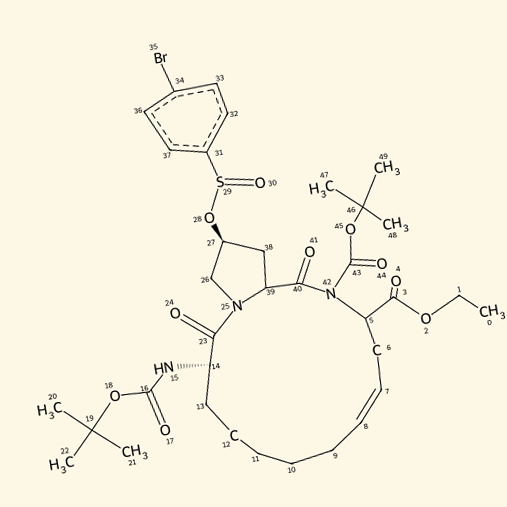 CCOC(=O)C1C/C=C\CCCCC[C@H](NC(=O)OC(C)(C)C)C(=O)N2C[C@@H](OS(=O)c3ccc(Br)cc3)CC2C(=O)N1C(=O)OC(C)(C)C